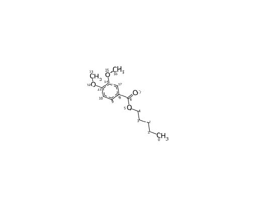 CCCCCOC(=O)c1ccc(OC)c(OC)c1